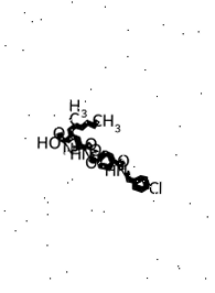 CCCCC(C)Cc1cc(C(=O)NS(=O)(=O)c2ccc(C(=O)NCCc3ccc(Cl)cc3)cc2)cnc1C(=O)O